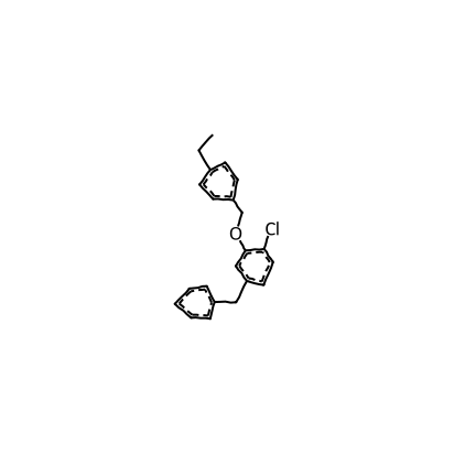 CCc1ccc(COc2cc(Cc3ccccc3)ccc2Cl)cc1